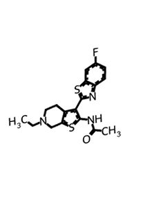 CCN1CCc2c(sc(NC(C)=O)c2-c2nc3ccc(F)cc3s2)C1